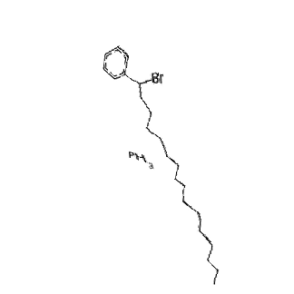 CCCCCCCCCCCCCCCC(Br)c1ccccc1.P